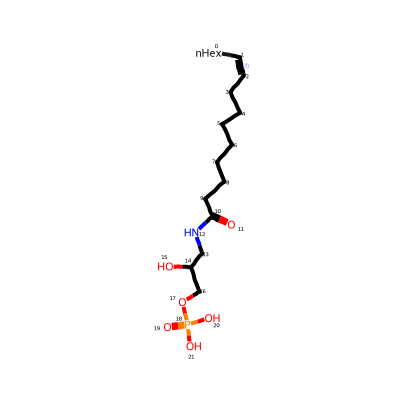 CCCCCC/C=C\CCCCCCCC(=O)NCC(O)COP(=O)(O)O